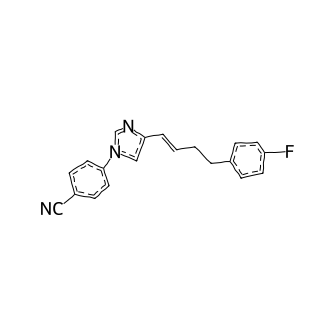 N#Cc1ccc(-n2cnc(C=CCCc3ccc(F)cc3)c2)cc1